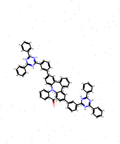 COC(=O)c1ccccc1N1c2ccc(-c3cccc(-c4nc(-c5ccccc5)nc(-c5ccccc5)n4)c3)cc2-c2ccccc2-c2cc(-c3cccc(-c4nc(-c5ccccc5)nc(-c5ccccc5)n4)c3)ccc21